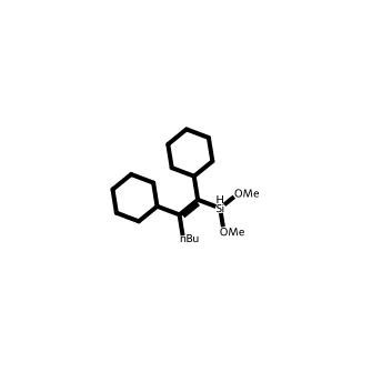 CCCCC(=C(C1CCCCC1)[SiH](OC)OC)C1CCCCC1